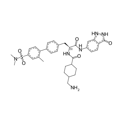 Cc1cc(S(=O)(=O)N(C)C)ccc1-c1ccc(C[C@H](NC(=O)C2CCC(CN)CC2)C(=O)Nc2ccc3c(=O)[nH][nH]c3c2)cc1